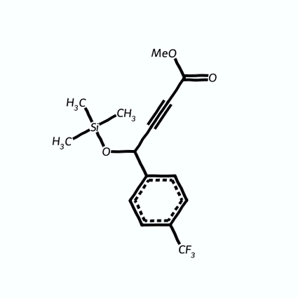 COC(=O)C#CC(O[Si](C)(C)C)c1ccc(C(F)(F)F)cc1